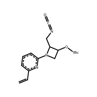 C=Cc1cccc(N2CC(OC(C)(C)C)C2CN=C=O)n1